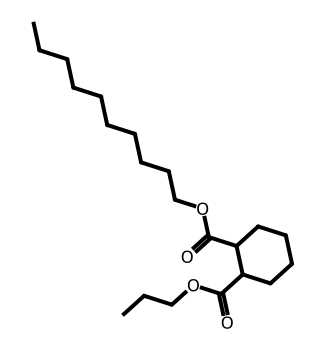 CCCCCCCCCCOC(=O)C1CCCCC1C(=O)OCCC